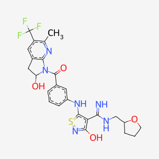 Cc1nc2c(cc1C(F)(F)F)CC(O)N2C(=O)c1cccc(Nc2snc(O)c2C(=N)NCC2CCCO2)c1